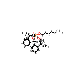 CCCCCCOP(=O)(O)OC(C)(c1ccccc1C(C)C)c1ccccc1C(C)C